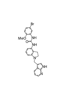 COc1ccc(Br)cc1NC(=O)Nc1cccc2c1CCN2Cc1c[nH]c2ncccc12